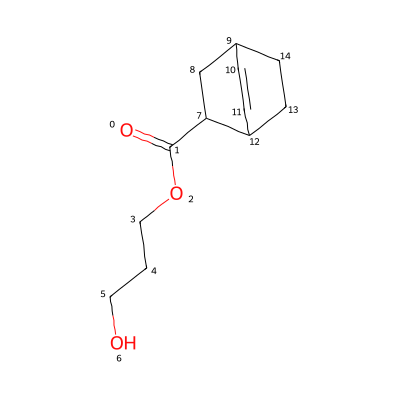 O=C(OCCCO)C1CC2C=CC1CC2